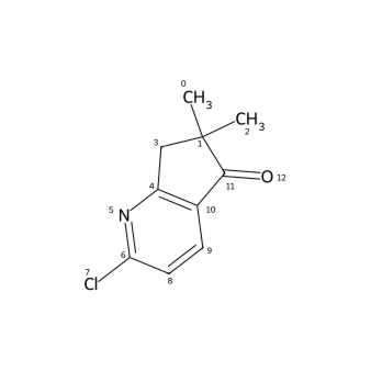 CC1(C)Cc2nc(Cl)ccc2C1=O